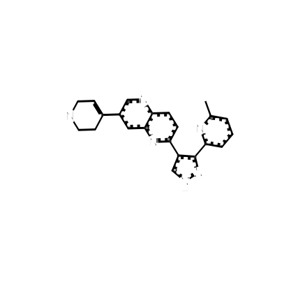 Cc1cccc(-c2n[nH]cc2-c2ccc3ncc(C4=CCNCC4)cc3n2)n1